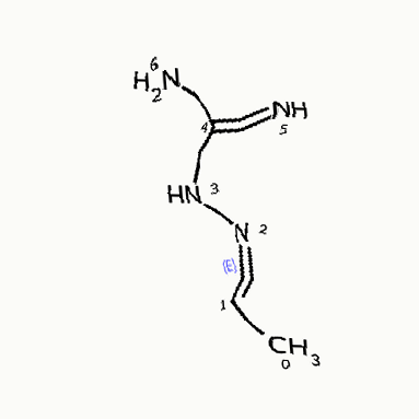 C/C=N/NC(=N)N